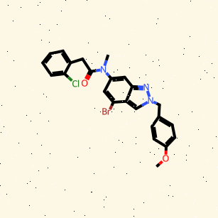 COc1ccc(Cn2cc3c(Br)cc(N(C)C(=O)Cc4ccccc4Cl)cc3n2)cc1